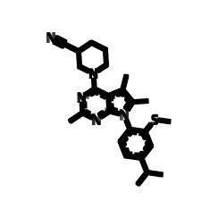 CSc1cc(C(C)C)ccc1-n1c(C)c(C)c2c(N3CCCC(C#N)C3)nc(C)nc21